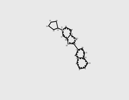 c1ccc2cc(-c3nc4ccn(C5CCCC5)cc-4n3)ccc2c1